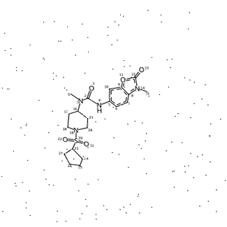 CN(C(=O)Nc1ccc2c(c1)oc(=O)n2C)C1CCN(S(=O)(=O)C2CCCC2)CC1